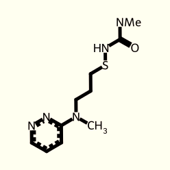 CNC(=O)NSCCCN(C)c1cccnn1